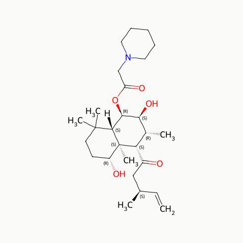 C=C[C@@H](C)CC(=O)[C@H]1[C@@H](C)[C@H](O)[C@H](OC(=O)CN2CCCCC2)[C@H]2C(C)(C)CC[C@@H](O)[C@]12C